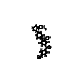 CN1CCCC1c1ccc(-c2ccc(C(=O)c3ccc(Br)cc3)cc2)cc1.Cl